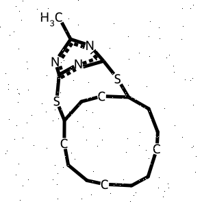 Cc1nc2nc(n1)SC1CCCCCCCCCC(CC1)S2